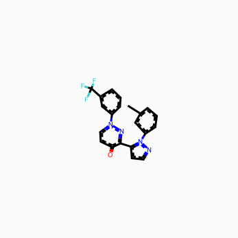 Cc1cccc(-n2nccc2-c2nn(-c3cccc(C(F)(F)F)c3)ccc2=O)c1